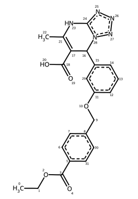 CCOC(=O)c1ccc(COc2cccc(C3C(C(=O)O)=C(C)Nc4nnnn43)c2)cc1